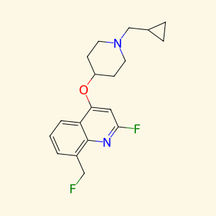 FCc1cccc2c(OC3CCN(CC4CC4)CC3)cc(F)nc12